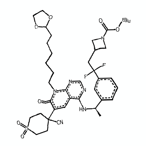 C[C@@H](Nc1ncnc2c1cc(C1(C#N)CCS(=O)(=O)CC1)c(=O)n2CCCCCCC1OCCO1)c1cccc(C(F)(F)CC2CN(C(=O)OC(C)(C)C)C2)c1